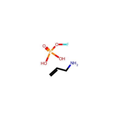 C=CCN.O=P(O)(O)OF